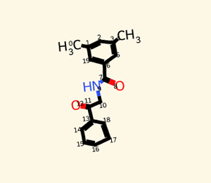 Cc1cc(C)cc(C(=O)NCC(=O)c2ccccc2)c1